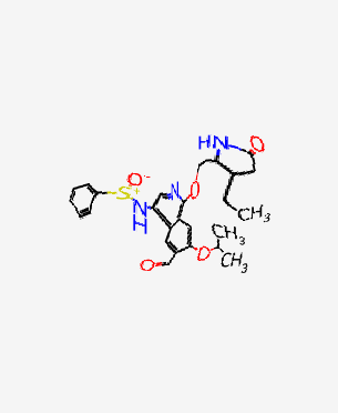 CCC1CC(=O)NC1COc1ncc(N[S+]([O-])c2ccccc2)c2cc(C=O)c(OC(C)C)cc12